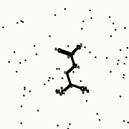 [CH2]C(C)CO[N+](=O)[O-]